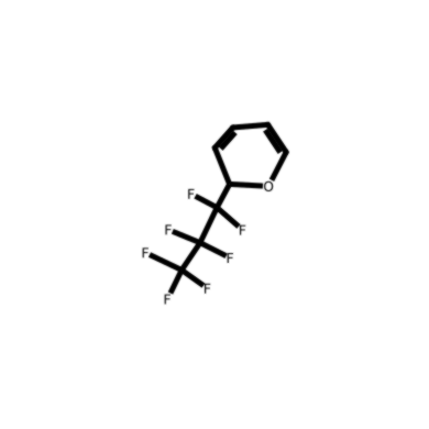 FC(F)(F)C(F)(F)C(F)(F)C1C=CC=CO1